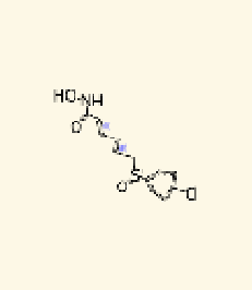 O=C(/C=C/C=C/C[S+]([O-])c1ccc(Cl)cc1)NO